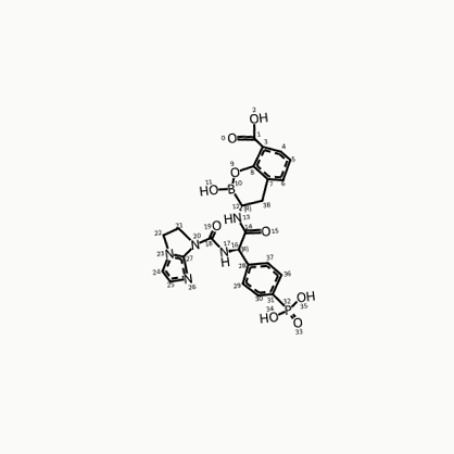 O=C(O)c1cccc2c1OB(O)[C@@H](NC(=O)[C@H](NC(=O)N1CCn3ccnc31)c1ccc(P(=O)(O)O)cc1)C2